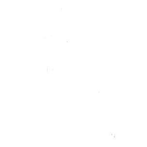 CC(=O)OCC(O)CCCC[CH]N